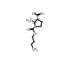 CCCCOC(=O)N1CC[C@H](C(=O)Cl)[C@@H]1C